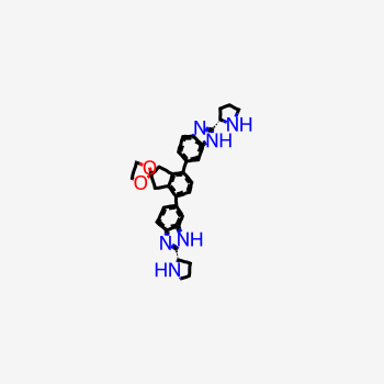 c1cc2nc([C@@H]3CCCN3)[nH]c2cc1-c1ccc(-c2ccc3nc([C@@H]4CCCN4)[nH]c3c2)c2c1CC1(C2)OCCO1